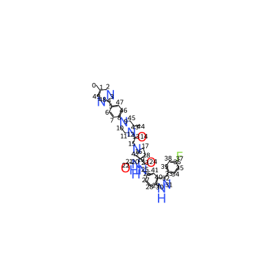 Cc1cnc(-c2ccc(N3CCN(C(=O)CN4CCC(NC=O)(C(=O)Nc5ccc6[nH]nc(-c7ccc(F)cc7)c6c5)C4)C(C)C3)cc2)nc1